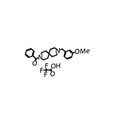 COc1cccc(CN2CCC3(CC2)CCN(C(=O)c2ccccc2)CC3)c1.O=C(O)C(F)(F)F